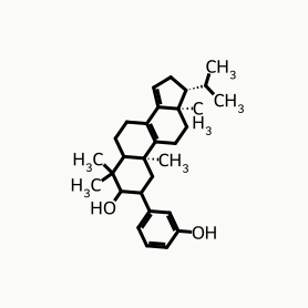 CC(C)[C@H]1CC=C2C3=C(CC[C@@]21C)[C@@]1(C)CC(c2cccc(O)c2)C(O)C(C)(C)C1CC3